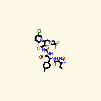 CCc1nonc1C(=O)N[C@H](C(=C=O)Nc1ncc(C(CN2CC(F)(F)C2)N2C=C(Cl)C=CC2=C=O)s1)C1CCC(C)CC1